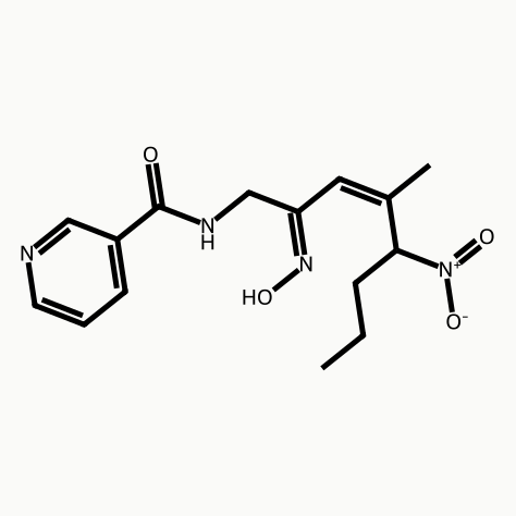 CCCC(C(C)=CC(CNC(=O)c1cccnc1)=NO)[N+](=O)[O-]